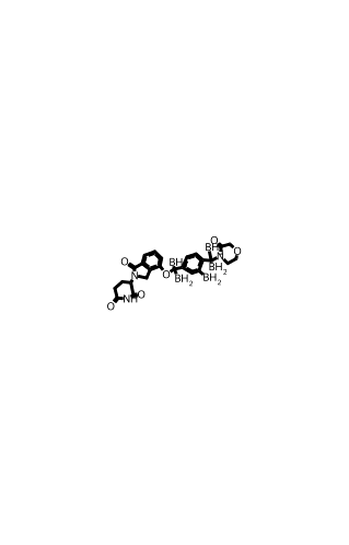 Bc1cc(C(B)(B)Oc2cccc3c2CN(C2CCC(=O)NC2=O)C3=O)ccc1C(B)(B)N1CCOCC1=O